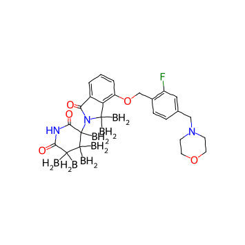 BC1(B)c2c(OCc3ccc(CN4CCOCC4)cc3F)cccc2C(=O)N1C1(B)C(=O)NC(=O)C(B)(B)C1(B)B